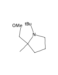 COCC1(C)CCCN1C(C)(C)C